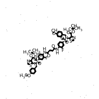 COc1ccc(CN(c2scnc2C(=O)OC(C)(C)C)S(=O)(=O)c2ccc(NC(=O)/C=C/C(=O)Nc3ccc(S(=O)(=O)N(Cc4ccc(OC)cc4)c4scnc4C(=O)OC(C)(C)C)cc3F)c(F)c2)cc1